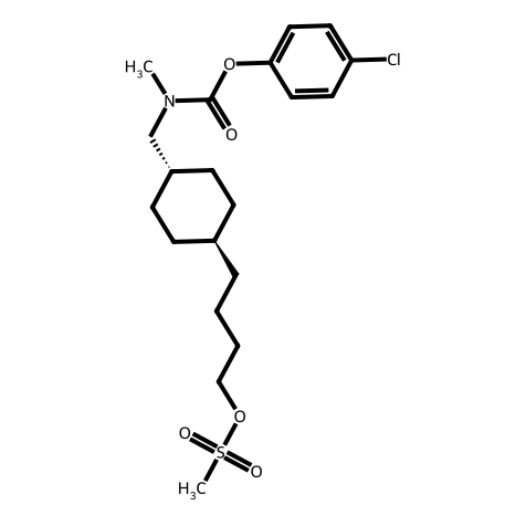 CN(C[C@H]1CC[C@H](CCCCOS(C)(=O)=O)CC1)C(=O)Oc1ccc(Cl)cc1